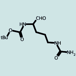 CC(C)(C)OC(=O)NC(C=O)CCCNC(N)=O